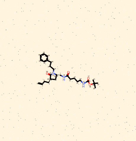 C=CCC[C@@H]1C[C@@H](CNC(=O)CCCCNC(=O)OC(C)(C)C)N(CCCc2ccccc2)C1=O